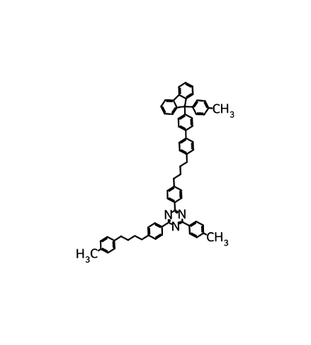 Cc1ccc(CCCCc2ccc(-c3nc(-c4ccc(C)cc4)nc(-c4ccc(CCCCc5ccc(-c6ccc(C7(c8ccc(C)cc8)c8ccccc8-c8ccccc87)cc6)cc5)cc4)n3)cc2)cc1